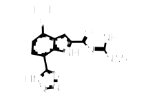 CNC(N)=NC(=O)c1cc2c(C(F)(F)F)ccc(-c3nnn[nH]3)c2[nH]1.Cl